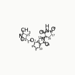 CC1=NOC(COc2cccc3c2CN(C2CCC(=O)NC2=O)C3=O)C1